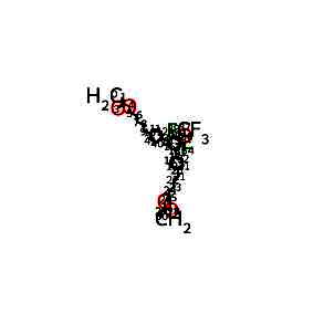 C=CC(=O)OCCCCCc1ccc(-c2cc(-c3ccc(CCCCCOC(=O)C=C)cc3)c(F)c(OC(F)(F)F)c2F)cc1